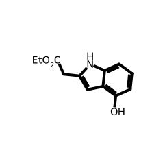 CCOC(=O)Cc1cc2c(O)cccc2[nH]1